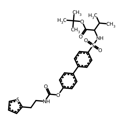 CC(C)C(NS(=O)(=O)c1ccc(-c2ccc(OC(=O)NCCc3cccs3)cc2)cc1)C(=O)OC(C)(C)C